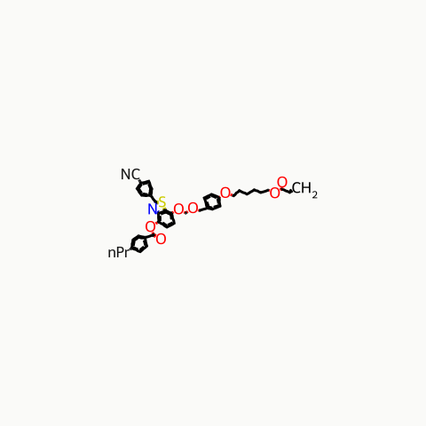 C=CC(=O)OCCCCCCOc1ccc(COCOc2ccc(OC(=O)c3ccc(CCC)cc3)c3nc(-c4ccc(C#N)cc4)sc23)cc1